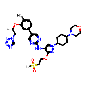 CCS(=O)(=O)CCOc1nn(C2CCC(N3CCOCC3)CC2)cc1Nc1ncc(-c2ccc(C#N)c(O[C@@H](C)Cn3cnnn3)c2)cn1